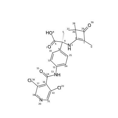 CC1=C(N[C@](C)(C(=O)O)c2ccc(NC(=O)c3c(Cl)cncc3Cl)cc2)C(C)(C)C1=O